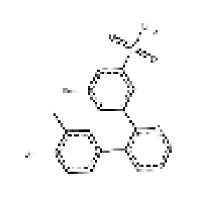 Cc1cc(-c2cccnc2-c2cc(F)cc(S(N)(=O)=O)c2)ccc1Br